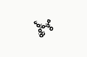 Cc1ccc(N2c3ccc(-c4nc(-c5ccccc5)nc(-c5ccccc5)n4)cc3Sc3cc(-c4cccs4)ccc32)cc1-c1nccc2ccccc12